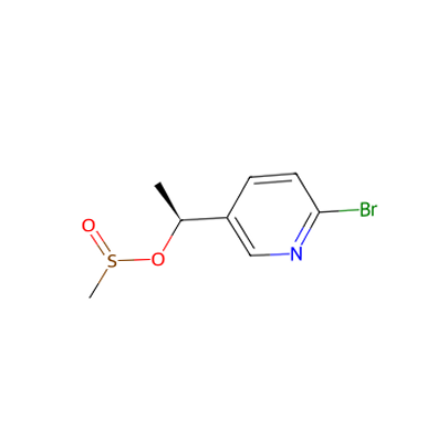 C[C@H](OS(C)=O)c1ccc(Br)nc1